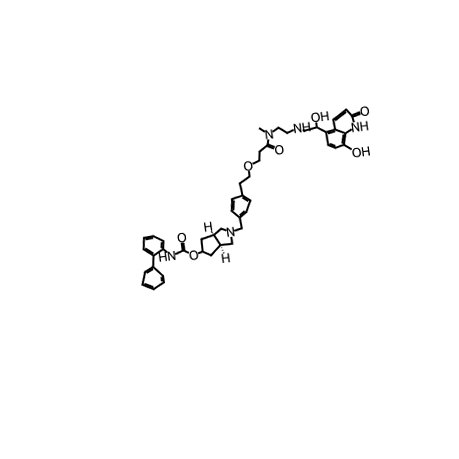 CN(CCNCC(O)c1ccc(O)c2[nH]c(=O)ccc12)C(=O)CCOCCc1ccc(CN2C[C@H]3CC(OC(=O)Nc4ccccc4-c4ccccc4)C[C@H]3C2)cc1